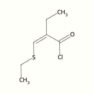 CCSC=C(CC)C(=O)Cl